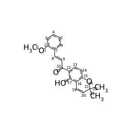 COc1ccccc1/C=C/C(=O)c1ccc2c(c1O)C=CC(C)(C)O2